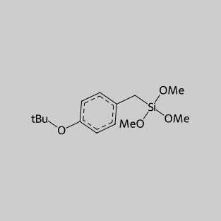 CO[Si](Cc1ccc(OC(C)(C)C)cc1)(OC)OC